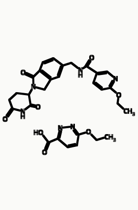 CCOc1ccc(C(=O)NCc2ccc3c(c2)CN(C2CCC(=O)NC2=O)C3=O)cn1.CCOc1ccc(C(=O)O)nn1